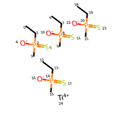 CCP(C)([O-])=S.CCP(C)([O-])=S.CCP(C)([O-])=S.CCP(C)([O-])=S.[Ti+4]